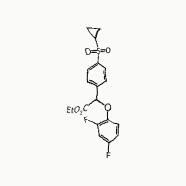 CCOC(=O)C(Oc1ccc(F)cc1F)c1ccc(S(=O)(=O)C2CC2)cc1